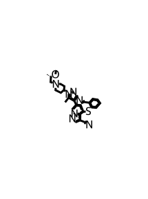 CO[C@@H](C)CN1CCC(n2ncc(-c3cc(Sc4ccccc4C#N)c4c(C#N)cnn4c3)c2C)CC1